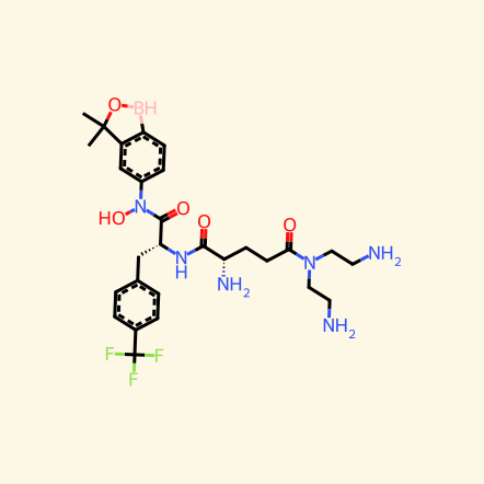 CC1(C)OBc2ccc(N(O)C(=O)[C@@H](Cc3ccc(C(F)(F)F)cc3)NC(=O)[C@@H](N)CCC(=O)N(CCN)CCN)cc21